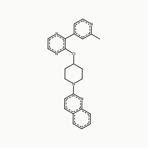 Cc1cc(-c2nccnc2OC2CCN(c3ccc4ccccc4n3)CC2)ccn1